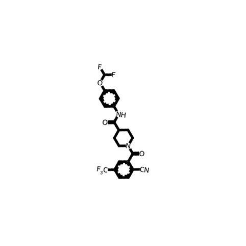 N#Cc1ccc(C(F)(F)F)cc1C(=O)N1CCC(C(=O)Nc2ccc(OC(F)F)cc2)CC1